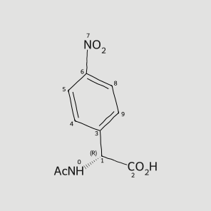 CC(=O)N[C@@H](C(=O)O)c1ccc([N+](=O)[O-])cc1